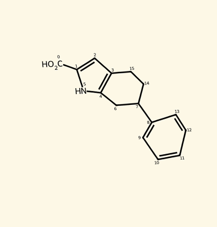 O=C(O)c1cc2c([nH]1)CC(c1ccccc1)CC2